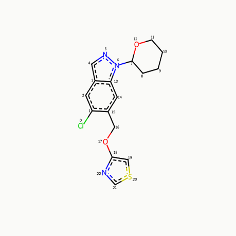 Clc1cc2cnn(C3CCCCO3)c2cc1COc1cscn1